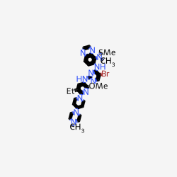 CCc1cc(Nc2ncc(Br)c(Nc3ccc4nccnc4c3N(C)SC)n2)c(OC)nc1N1CCC(N2CCN(C)CC2)CC1